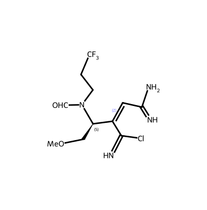 COC[C@H](/C(=C/C(=N)N)C(=N)Cl)N(C=O)CCC(F)(F)F